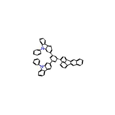 c1ccc(-n2c3ccccc3c3ccc(-c4cc(-c5ccc6c7ccccc7n(-c7ccccc7)c6c5)cc(-c5ccc6c7c(cccc57)-c5cc7ccccc7cc5-6)c4)cc32)cc1